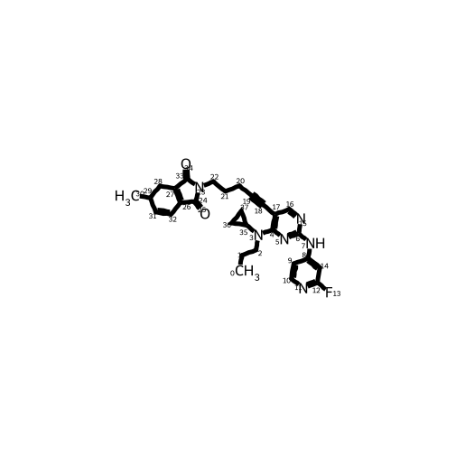 CCCN(c1nc(Nc2ccnc(F)c2)ncc1C#CCCCN1C(=O)C2=C(CC(C)C=C2)C1=O)C1CC1